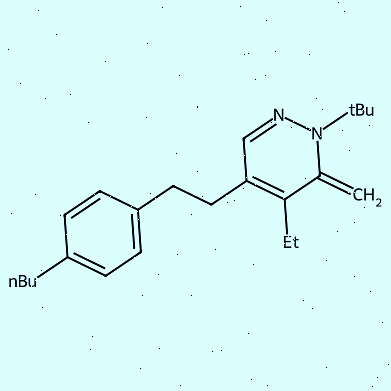 C=C1C(CC)=C(CCc2ccc(CCCC)cc2)C=NN1C(C)(C)C